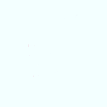 Cc1cc2c(Br)cccc2c(O)c1C(OC(C)(C)C)C(=O)O